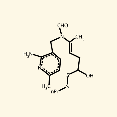 CCCSSC(O)CC=C(C)N(C=O)Cc1ccc(C)nc1N